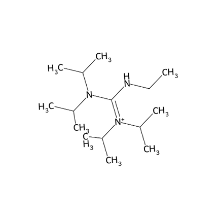 CCNC(N(C(C)C)C(C)C)=[N+](C(C)C)C(C)C